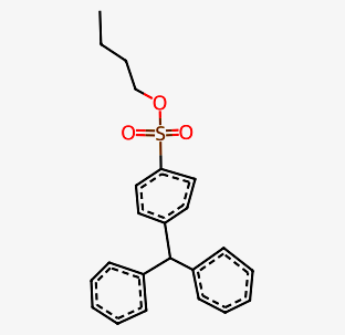 CCCCOS(=O)(=O)c1ccc(C(c2ccccc2)c2ccccc2)cc1